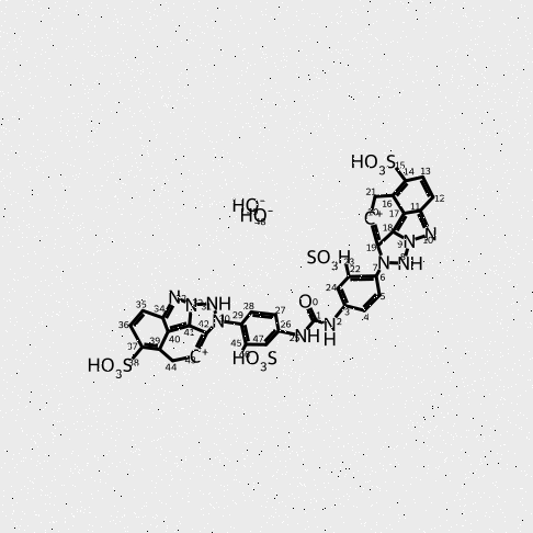 O=C(Nc1ccc(N2Nn3nc4ccc(S(=O)(=O)O)c5c4c3C2=[C+]C5)c(S(=O)(=O)O)c1)Nc1ccc(N2Nn3nc4ccc(S(=O)(=O)O)c5c4c3C2=[C+]C5)c(S(=O)(=O)O)c1.[OH-].[OH-]